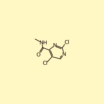 CNC(=O)c1nc(Cl)ncc1Cl